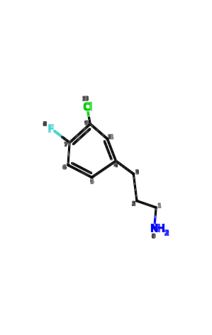 NCCCc1ccc(F)c(Cl)c1